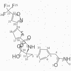 CNC(=O)Cc1ccc([C@@H]2C[C@]2(NS(=O)(=O)c2ccc(-c3cc(C(F)(F)F)on3)s2)C(=O)O)cc1